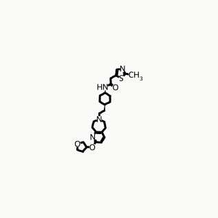 Cc1ncc(CC(=O)N[C@H]2CC[C@H](CCN3CCc4ccc(OC5CCOC5)nc4CC3)CC2)s1